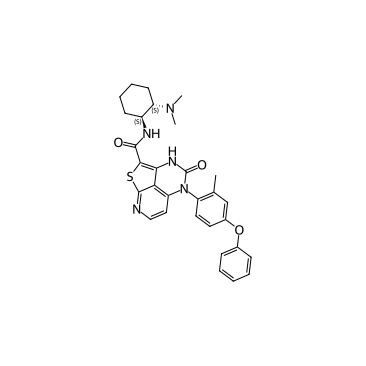 Cc1cc(Oc2ccccc2)ccc1N1C(=O)Nc2c(C(=O)N[C@H]3CCCC[C@@H]3N(C)C)sc3nccc1c23